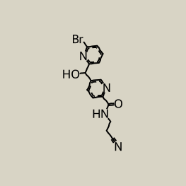 N#CCCNC(=O)c1ccc(C(O)c2cccc(Br)n2)cn1